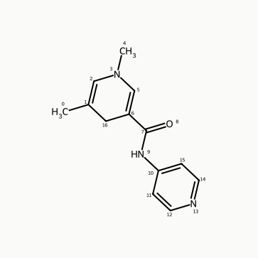 CC1=CN(C)C=C(C(=O)Nc2ccncc2)C1